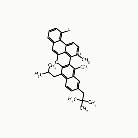 Cc1c2c(c(CC(C)C)c3ccc(CC(C)(C)C)cc13)Oc1cc3cccc(F)c3c3cc[n+](C)c-2c13